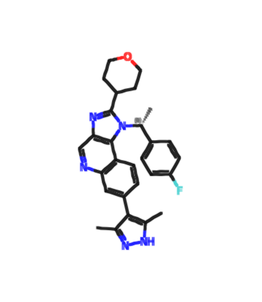 Cc1n[nH]c(C)c1-c1ccc2c(c1)ncc1nc(C3CCOCC3)n([C@H](C)c3ccc(F)cc3)c12